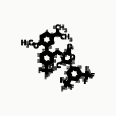 COc1ccc(C(C)C)cc1-c1ccc(C(F)(F)F)cc1CN1C(=O)O[C@H](c2cc(C(F)(F)F)cc(C(F)(F)F)c2)[C@@H]1C